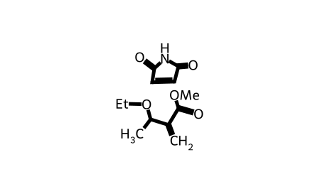 C=C(C(=O)OC)C(C)OCC.O=C1C=CC(=O)N1